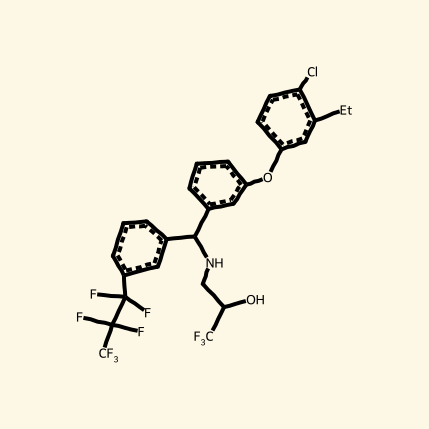 CCc1cc(Oc2cccc(C(NCC(O)C(F)(F)F)c3cccc(C(F)(F)C(F)(F)C(F)(F)F)c3)c2)ccc1Cl